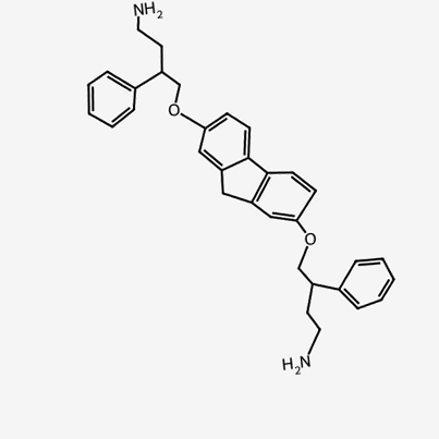 NCCC(COc1ccc2c(c1)Cc1cc(OCC(CCN)c3ccccc3)ccc1-2)c1ccccc1